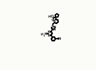 N#Cc1cccc(-c2cc(-c3cn(Cc4cccc(C5(C(=O)O)CCCC5)n4)nn3)nc(N)n2)c1